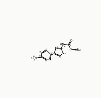 CC(C)(C)OC(=O)Nc1nc(-c2ccc(N)cc2)cs1